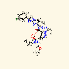 COCCN(C)C(=O)c1cnn(C)c1C(=O)Nc1ccn2cc(-c3cccc(F)c3)nc2n1